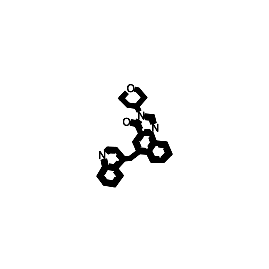 O=c1c2cc(Cc3ccnc4ccccc34)c3ccccc3c2ncn1C1CCOCC1